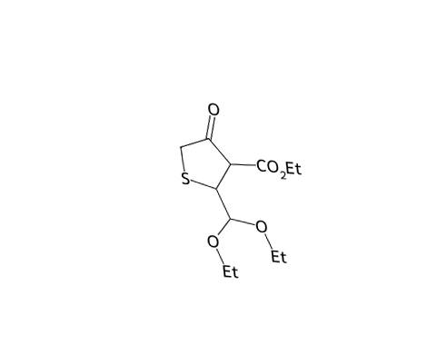 CCOC(=O)C1C(=O)CSC1C(OCC)OCC